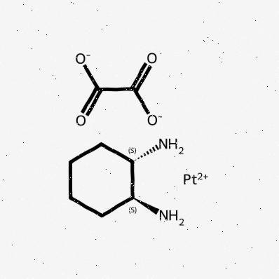 N[C@H]1CCCC[C@@H]1N.O=C([O-])C(=O)[O-].[Pt+2]